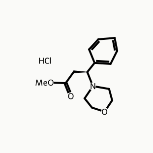 COC(=O)C[C@@H](c1ccccc1)N1CCOCC1.Cl